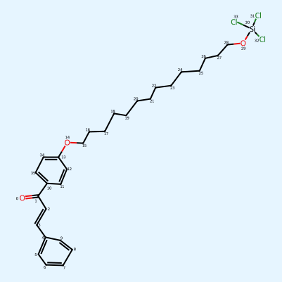 O=C(C=Cc1ccccc1)c1ccc(OCCCCCCCCCCCCCCO[Si](Cl)(Cl)Cl)cc1